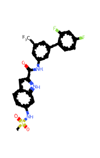 CS(=O)(=O)Nc1ccc2cc(C(=O)Nc3cc(-c4ccc(F)cc4F)cc(C(F)(F)F)c3)[nH]c2c1